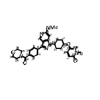 CNc1cc2c(cn1)c(-c1ccc(C(=O)N3CCOCC3)cc1)nn2C1CCC(Oc2ccc(=O)n(C)n2)CC1